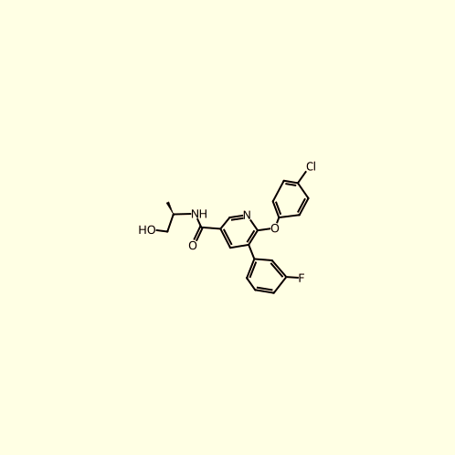 C[C@H](CO)NC(=O)c1cnc(Oc2ccc(Cl)cc2)c(-c2cccc(F)c2)c1